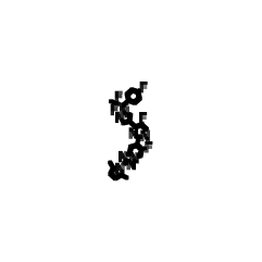 Cc1ccc(C)n1-c1nc2cc(-c3ncc(F)c(-c4cnn([C@H](c5ccc(F)cc5)C(C)(F)F)c4)n3)c(F)cn2n1